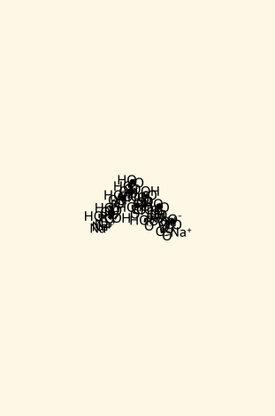 O=P(O)(O)OP(=O)(O)OP(=O)(O)O.O=P(O)(O)OP(=O)(O)OP(=O)(O)O.O=P(O)(O)OP(=O)(O)OP(=O)(O)O.O=P(O)(O)OP(=O)(O)OP(=O)(O)O.O=P([O-])([O-])OP(=O)([O-])[O-].[Na+].[Na+].[Na+].[Na+]